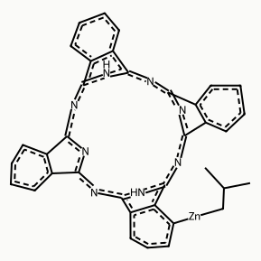 CC(C)[CH2][Zn][c]1cccc2c3nc4nc(nc5[nH]c(nc6nc(nc([nH]3)c12)-c1ccccc1-6)c1ccccc51)-c1ccccc1-4